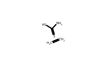 C=C.NC(=S)S